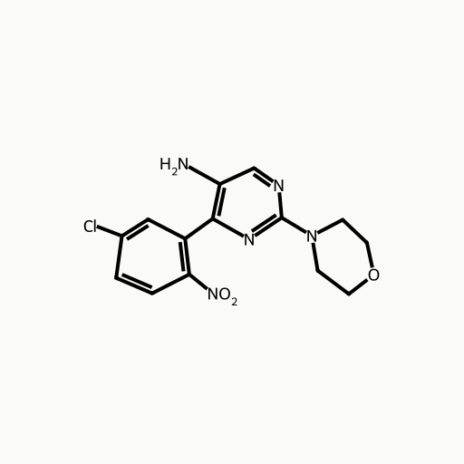 Nc1cnc(N2CCOCC2)nc1-c1cc(Cl)ccc1[N+](=O)[O-]